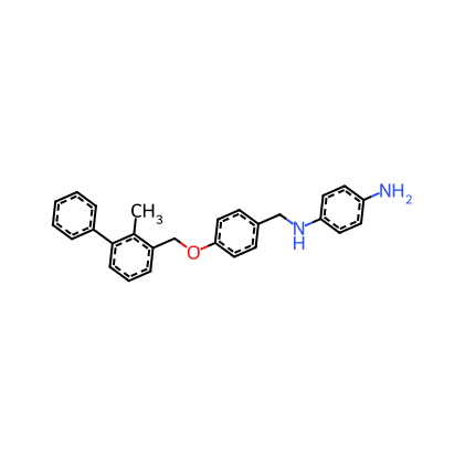 Cc1c(COc2ccc(CNc3ccc(N)cc3)cc2)cccc1-c1ccccc1